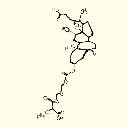 CC(C(=O)O)C(=O)OCOCOC(=O)O[C@@H]1CC[C@]2(C)C3C[C@H](O)[C@@]4(C)C(CCC4[C@H](C)CCC(=O)O)C3CC[C@@H]2C1